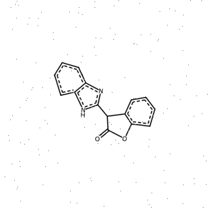 O=C1Oc2ccccc2C1c1nc2ccccc2[nH]1